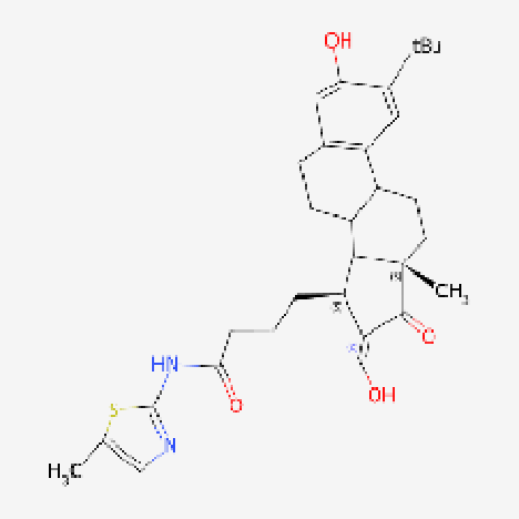 Cc1cnc(NC(=O)CCC[C@@H]2/C(=C/O)C(=O)[C@@]3(C)CCC4c5cc(C(C)(C)C)c(O)cc5CCC4C23)s1